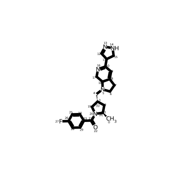 C[C@@H]1C[C@@H](CN2CCC3=CC(C4C=NNC4)=NCC32)CN1C(=O)c1ccc(F)cc1